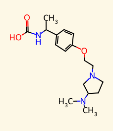 CC(NC(=O)O)c1ccc(OCCN2CCC(N(C)C)C2)cc1